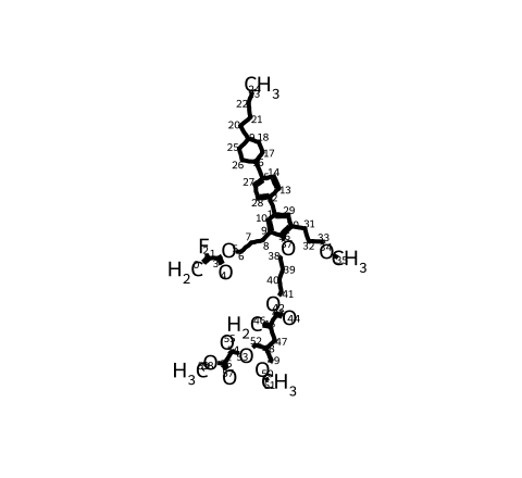 C=C(F)C(=O)OCCCc1cc(-c2ccc(C3CCC(CCCCC)CC3)cc2)cc(CCCOC)c1OCCCCOC(=O)C(=C)CC(COC)COC(=O)C(=O)OC